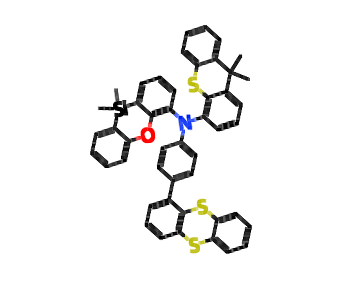 CC1(C)c2ccccc2Sc2c(N(c3ccc(-c4cccc5c4Sc4ccccc4S5)cc3)c3cccc4c3Oc3ccccc3[Si]4(C)C)cccc21